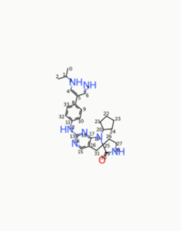 CC(C)N/C=C(\C=N)c1ccc(Nc2ncc3c(n2)N(C2CCCC2)C2(CCNC2=O)C3)cc1